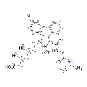 C/C(N)=C/C(=O)CNC(=O)c1c(-c2ccccc2)c(-c2ccc(F)cc2)c(CC[C@@H](O)C[C@@H](O)CC(=O)O)n1C(C)C